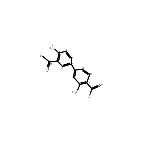 Cc1cc(-c2ccc(C)c(C(=O)Cl)c2)ccc1C(=O)Cl